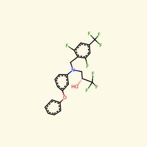 O[C@H](CN(Cc1c(F)cc(C(F)(F)F)cc1F)c1cccc(Oc2ccccc2)c1)C(F)(F)F